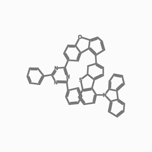 C1=C(c2cccc3oc4ccc(-c5nc(-c6ccccc6)nc(-c6ccccc6)n5)cc4c23)CC2Sc3cccc(-n4c5ccccc5c5ccccc54)c3C2=C1